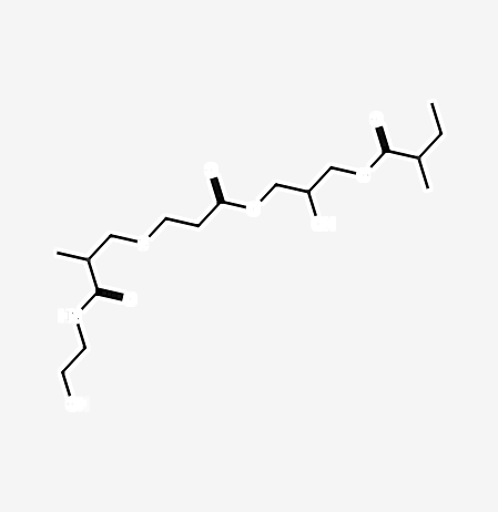 CCC(C)C(=O)OCC(O)COC(=O)CCSCC(C)C(=O)NCCO